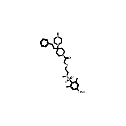 COc1cc(C)c(S(=O)(=O)N(C)CCOCC(=O)N2CCC(CCc3ccccc3)(N3CCN(C)CC3)CC2)c(C)c1